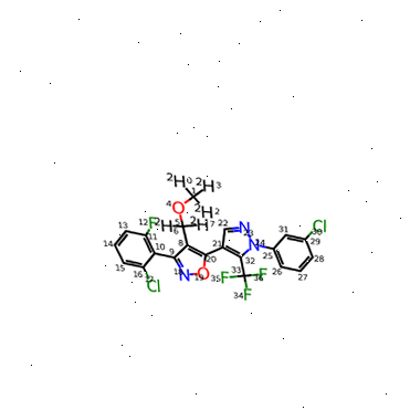 [2H]C([2H])([2H])OC([2H])([2H])c1c(-c2c(F)cccc2Cl)noc1-c1cnn(-c2cccc(Cl)c2)c1C(F)(F)F